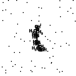 CC(C)(CCNC(=S)NCCCNC(=S)NCCC(C)(C)c1cc(O)no1)c1cc(O)no1